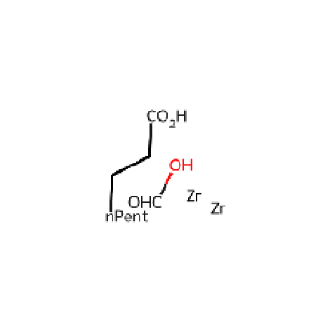 CCCCCCCC(=O)O.O=CO.[Zr].[Zr]